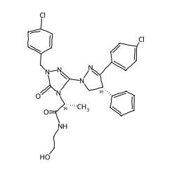 C[C@H](C(=O)NCCO)n1c(N2C[C@@H](c3ccccc3)C(c3ccc(Cl)cc3)=N2)nn(Cc2ccc(Cl)cc2)c1=O